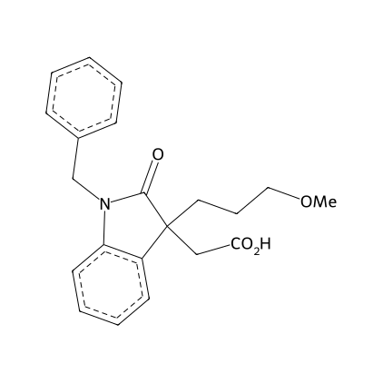 COCCCC1(CC(=O)O)C(=O)N(Cc2ccccc2)c2ccccc21